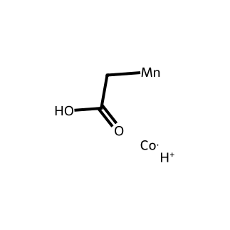 O=C(O)[CH2][Mn].[Co].[H+]